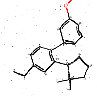 CCc1ccc(-c2cccc(OC)c2)c(C2CCCC2(C)C)c1